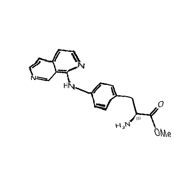 COC(=O)[C@@H](N)Cc1ccc(Nc2nccc3ccncc23)cc1